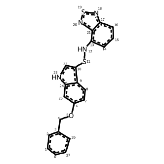 c1ccc(COc2ccc3c(SNc4cccc5nsnc45)c[nH]c3c2)cc1